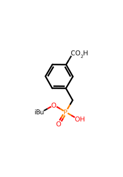 CCC(C)OP(=O)(O)Cc1cccc(C(=O)O)c1